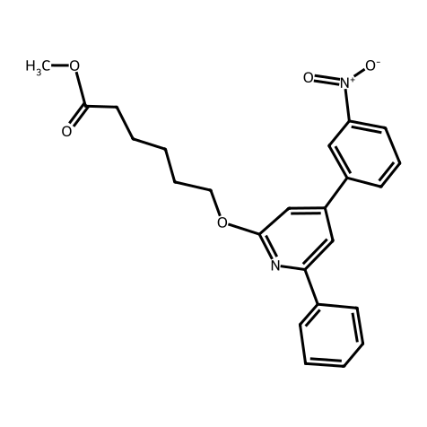 COC(=O)CCCCCOc1cc(-c2cccc([N+](=O)[O-])c2)cc(-c2ccccc2)n1